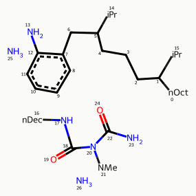 CCCCCCCCC(CCCC(Cc1ccccc1N)C(C)C)C(C)C.CCCCCCCCCCNC(=O)N(NC)C(N)=O.N.N